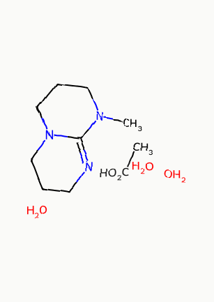 CC(=O)O.CN1CCCN2CCCN=C12.O.O.O